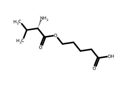 CC(C)[C@H](N)C(=O)OCCCCC(=O)O